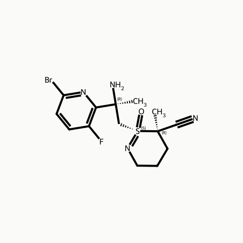 C[C@](N)(C[S@@]1(=O)=NCCC[C@]1(C)C#N)c1nc(Br)ccc1F